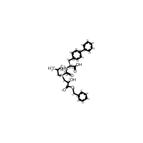 CC(C)CN(CC(O)C(=O)OCc1ccccc1)C(=O)N[C@@H](Cc1ccc(-c2ccccc2)cc1)C(=O)O